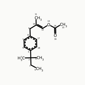 CCC(C)(C)c1ccc(CC(C)=COC(C)=O)cc1